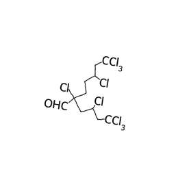 O=CC(Cl)(CCC(Cl)CC(Cl)(Cl)Cl)CC(Cl)CC(Cl)(Cl)Cl